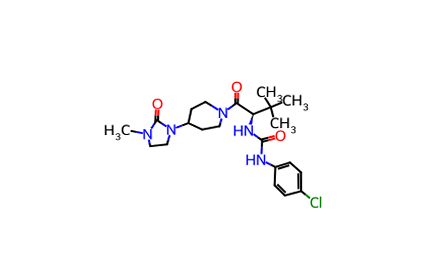 CN1CCN(C2CCN(C(=O)[C@H](NC(=O)Nc3ccc(Cl)cc3)C(C)(C)C)CC2)C1=O